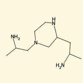 CC(N)CC1CN(CC(C)N)CCN1